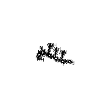 Cc1cc(N=Nc2cc(SCCCS(=O)(=O)O)c(N=Nc3cc(OCCCCS(=O)(=O)O)c(N=Nc4c(C)c(C#N)c5nc6ccc(S(=O)(=O)O)cc6n5c4O)cc3C)cc2C)c(SCCCS(=O)(=O)O)cc1N=Nc1ccc(Cl)cc1